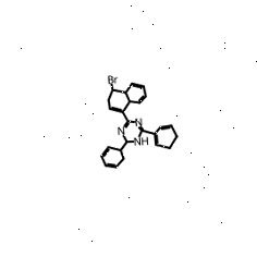 BrC1CC=C(C2=NC(C3C=CC=CC3)NC(C3=CCCC=C3)=N2)C2C=CC=CC12